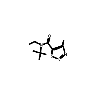 CCN(C(=O)c1snnc1C)C(C)(C)C